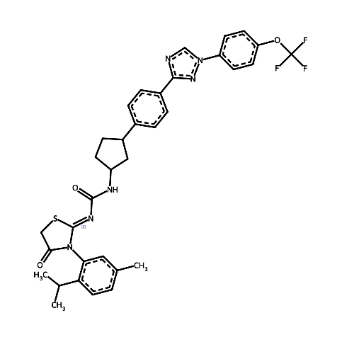 Cc1ccc(C(C)C)c(N2C(=O)CS/C2=N\C(=O)NC2CCC(c3ccc(-c4ncn(-c5ccc(OC(F)(F)F)cc5)n4)cc3)C2)c1